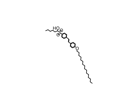 CCCCCCCCCCCCCCCCOc1ccc(C=Cc2ccc(S(=O)(=O)C(O)CCCCC)cc2)cc1